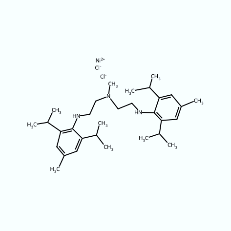 Cc1cc(C(C)C)c(NCCN(C)CCNc2c(C(C)C)cc(C)cc2C(C)C)c(C(C)C)c1.[Cl-].[Cl-].[Ni+2]